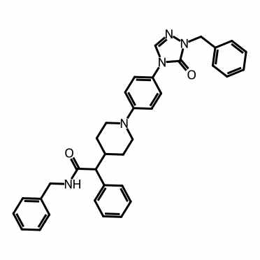 O=C(NCc1ccccc1)C(c1ccccc1)C1CCN(c2ccc(-n3cnn(Cc4ccccc4)c3=O)cc2)CC1